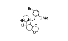 COc1ccc(Br)cc1CCC1C2=C(C=CC1(Cl)C1=NCCCN1)OCCO2